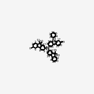 CC1C=CC2=C(C1)c1ccc(N(C3=CC4C5=C(CC(C)C=C5)N(c5ccccc5)C4C=C3)c3ccc4c(c3)C(C)(C)c3ccccc3-4)cc1C2(C)C